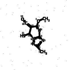 COC1=Nc2nc(C)nn2C(S)C1=C=O